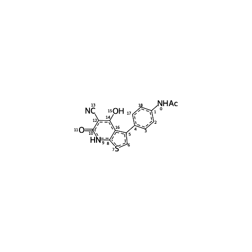 CC(=O)Nc1ccc(-c2csc3[nH]c(=O)c(C#N)c(O)c23)cc1